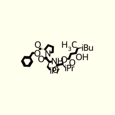 CC[C@H](C)[C@@H](C)[C@@H](O)CC(=O)O[C@H](C(=O)N[C@@H](CC(C)C)C(=O)N1CCC[C@H]1C(=O)OCc1ccccc1)C(C)C